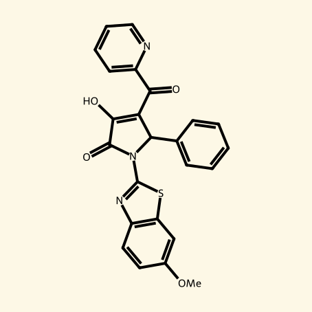 COc1ccc2nc(N3C(=O)C(O)=C(C(=O)c4ccccn4)C3c3ccccc3)sc2c1